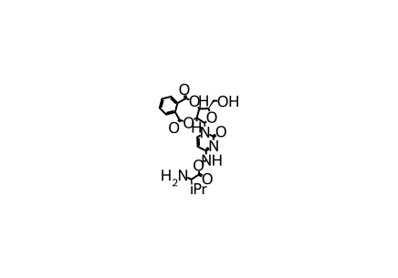 CC(C)[C@@H](N)C(=O)ONc1ccn([C@@H]2O[C@H](CO)[C@H]3OC(=O)c4ccccc4C(=O)O[C@H]32)c(=O)n1